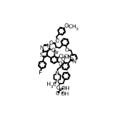 COc1ccc(COC(=O)C(Cc2ccccc2OCc2ccnc(-c3ccccc3OC)n2)Oc2ncnc3sc(-c4ccc(F)cc4)c(-c4ccc(OCCN5CC[N+](C)(C(Cc6ccccc6)OP(=O)(O)O)CC5)c(Cl)c4Br)c23)cc1